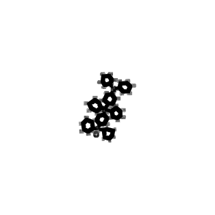 O=P(c1ccccc1)(c1ccccc1)c1ccc([Si](c2ccccc2)(c2ccccc2)c2ccc(N(c3ccccc3)c3ccccc3)cc2)cc1